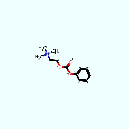 C[N+](C)(C)CCOC(=O)Oc1ccccc1